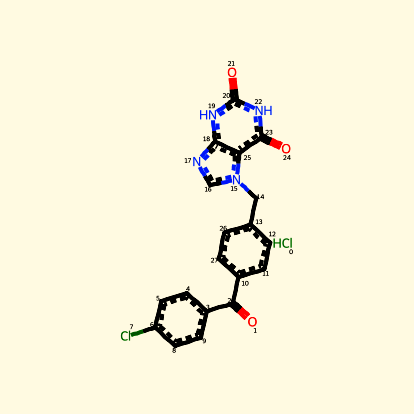 Cl.O=C(c1ccc(Cl)cc1)c1ccc(Cn2cnc3[nH]c(=O)[nH]c(=O)c32)cc1